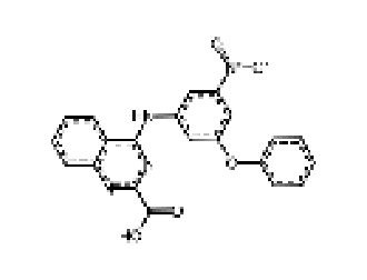 O=C(O)c1nc(Nc2cc(Oc3ccccc3)cc([N+](=O)[O-])c2)c2ccccc2n1